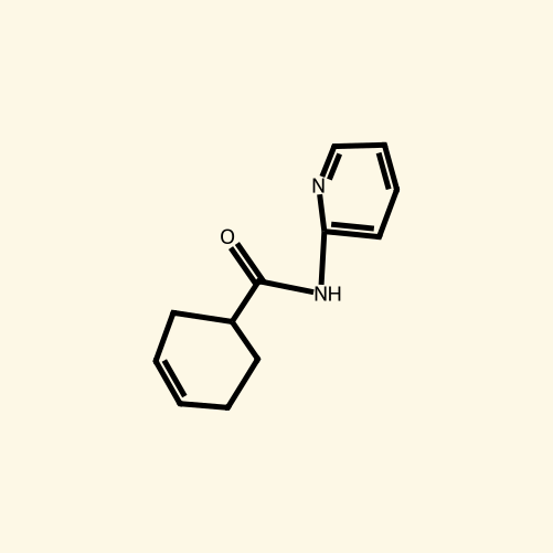 O=C(Nc1ccccn1)C1CC=CCC1